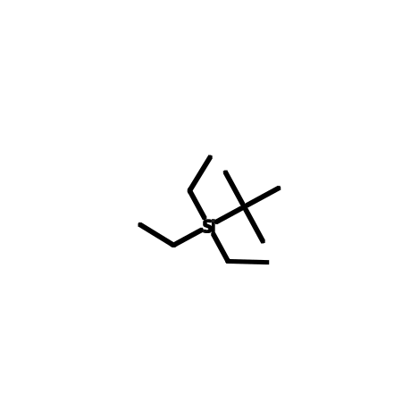 CC[Si](CC)(CC)C(C)(C)C